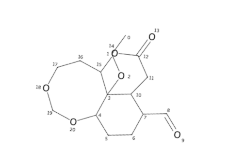 CCOC12C3CCC(C=O)C1CC(=O)OC2CCOCO3